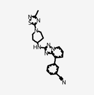 Cc1nsc(N2CCC(Nc3nc4c(-c5cccc(C#N)c5)cccn4n3)CC2)n1